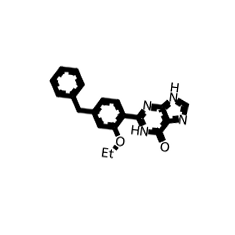 CCOc1cc(Cc2ccccc2)ccc1-c1nc2[nH]cnc2c(=O)[nH]1